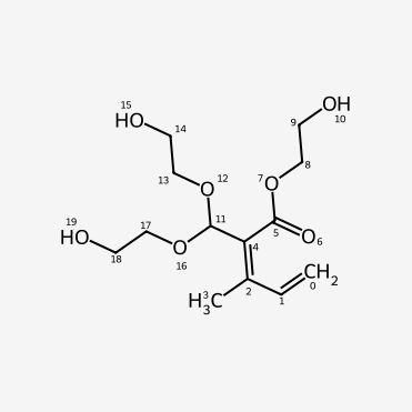 C=CC(C)=C(C(=O)OCCO)C(OCCO)OCCO